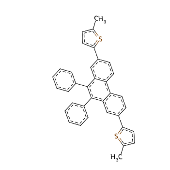 Cc1ccc(-c2ccc3c(c2)c(-c2ccccc2)c(-c2ccccc2)c2cc(-c4ccc(C)s4)ccc23)s1